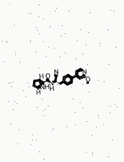 COc1cc(-c2ccc(C[C@@H](C#N)NC(=O)[C@H]3N[C@@H]4CC[C@H]3C4)cc2)ccn1